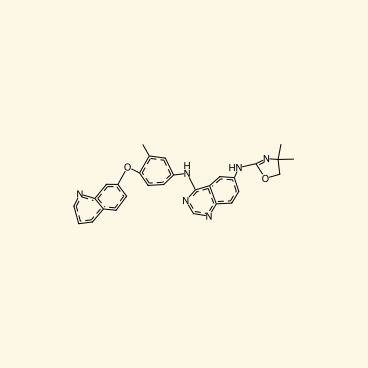 Cc1cc(Nc2ncnc3ccc(NC4=NC(C)(C)CO4)cc23)ccc1Oc1ccc2cccnc2c1